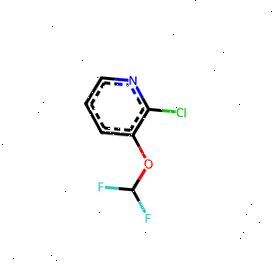 FC(F)Oc1cc[c]nc1Cl